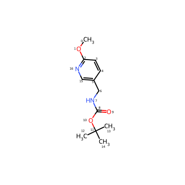 COc1ccc(CNC(=O)OC(C)(C)C)cn1